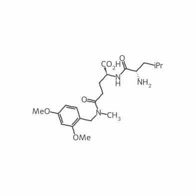 COc1ccc(CN(C)C(=O)CC[C@H](NC(=O)[C@@H](N)CC(C)C)C(=O)O)c(OC)c1